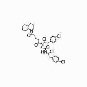 O=C(CN(C(=O)CCCC(=O)N1CCCC2CCCCC21)C(Cl)Cc1ccc(Cl)cc1)NC(Cl)Cc1ccc(Cl)cc1